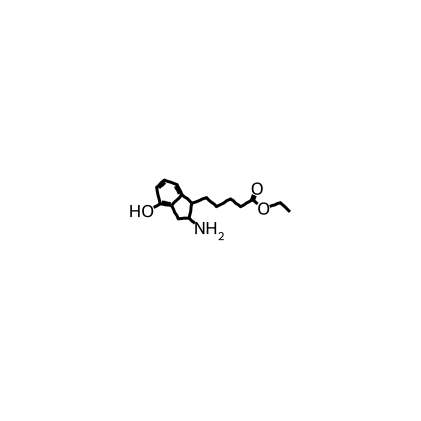 CCOC(=O)CCCCC1c2cccc(O)c2CC1N